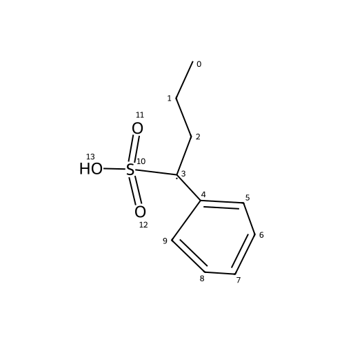 CCC[C](c1ccccc1)S(=O)(=O)O